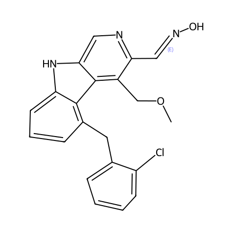 COCc1c(/C=N/O)ncc2[nH]c3cccc(Cc4ccccc4Cl)c3c12